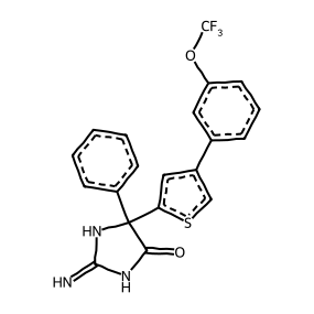 N=C1NC(=O)C(c2ccccc2)(c2cc(-c3cccc(OC(F)(F)F)c3)cs2)N1